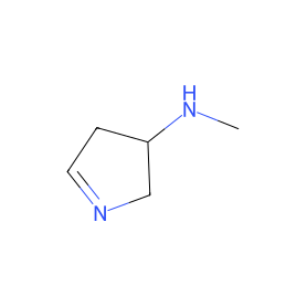 CNC1CC=NC1